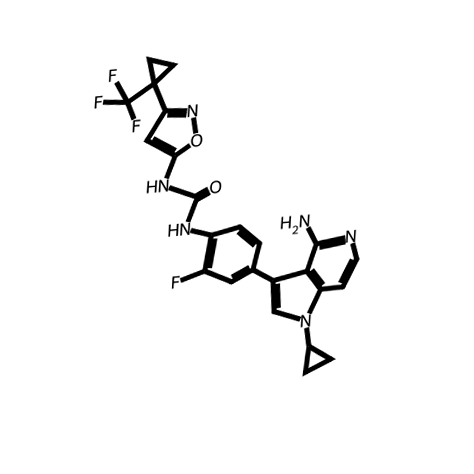 Nc1nccc2c1c(-c1ccc(NC(=O)Nc3cc(C4(C(F)(F)F)CC4)no3)c(F)c1)cn2C1CC1